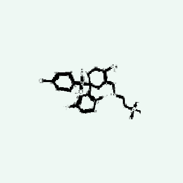 C[Si](C)(C)CCOCC1CC(c2cc(F)ccc2F)(S(=O)(=O)c2ccc(Cl)cc2)CCC1O